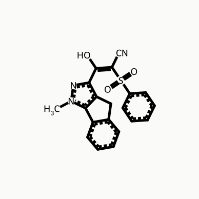 Cn1nc(C(O)=C(C#N)S(=O)(=O)c2ccccc2)c2c1-c1ccccc1C2